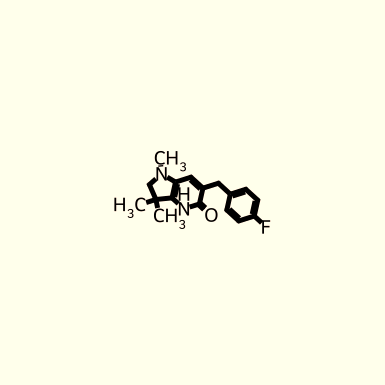 CN1CC(C)(C)c2[nH]c(=O)c(Cc3ccc(F)cc3)cc21